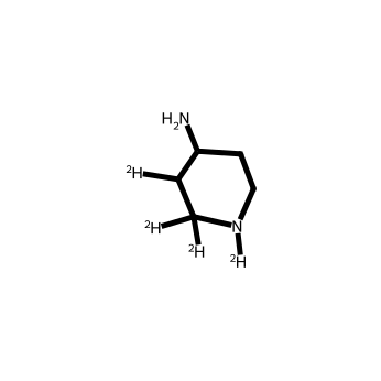 [2H]C1C(N)CCN([2H])C1([2H])[2H]